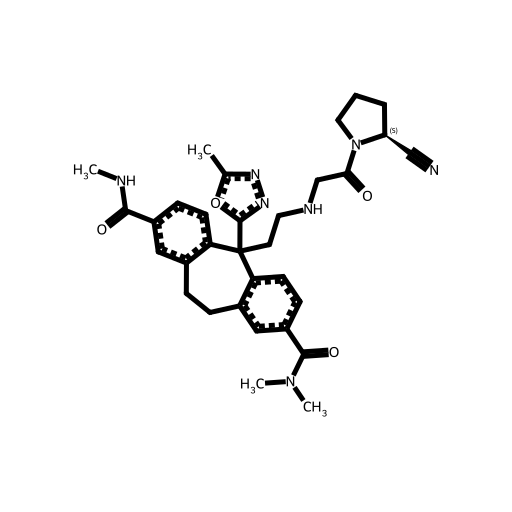 CNC(=O)c1ccc2c(c1)CCc1cc(C(=O)N(C)C)ccc1C2(CCNCC(=O)N1CCC[C@H]1C#N)c1nnc(C)o1